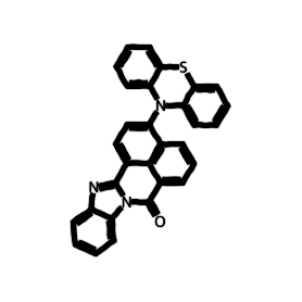 O=c1c2cccc3c(N4c5ccccc5Sc5ccccc54)ccc(c32)c2nc3ccccc3n12